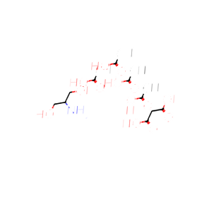 CC(=O)O.CC(=O)O.CC(=O)O.CC(=O)O.NC(CO)CO.O=C(O)CC(=O)O